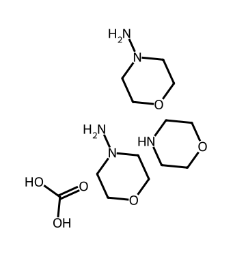 C1COCCN1.NN1CCOCC1.NN1CCOCC1.O=C(O)O